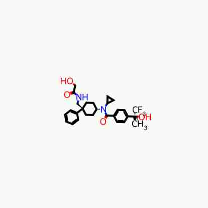 C[C@](O)(c1ccc(C(=O)N(C2CC2)[C@H]2CC[C@@](CNC(=O)CO)(c3ccccc3)CC2)cc1)C(F)(F)F